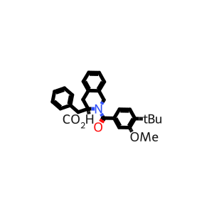 COc1cc(C(=O)N2Cc3ccccc3CC2(Cc2ccccc2)C(=O)O)ccc1C(C)(C)C